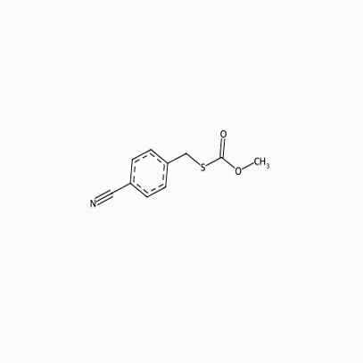 COC(=O)SCc1ccc(C#N)cc1